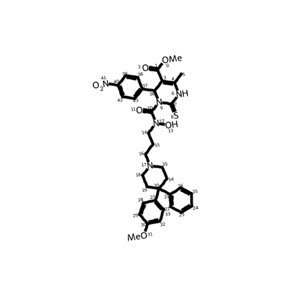 COC(=O)C1=C(C)NC(=S)N(C(=O)N(O)CCCN2CCC(c3ccccc3)(c3ccc(OC)cc3)CC2)C1c1ccc([N+](=O)[O-])cc1